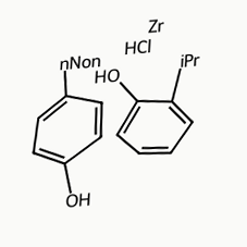 CC(C)c1ccccc1O.CCCCCCCCCc1ccc(O)cc1.Cl.[Zr]